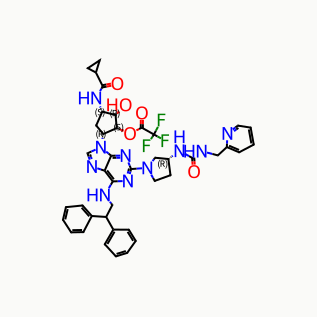 O=C(NCc1ccccn1)N[C@@H]1CCN(c2nc(NCC(c3ccccc3)c3ccccc3)c3ncn([C@@H]4C[C@H](NC(=O)C5CC5)[C@@H](O)[C@H]4OC(=O)C(F)(F)F)c3n2)C1